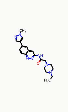 CCN1CCN(CC(=O)Nc2cc3cc(-c4cnn(C)c4)ccc3nn2)CC1